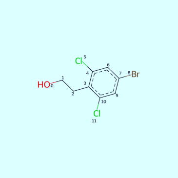 OCCc1c(Cl)cc(Br)cc1Cl